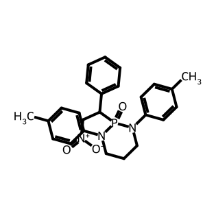 Cc1ccc(N2CCCN(c3ccc(C)cc3)P2(=O)C(C[N+](=O)[O-])c2ccccc2)cc1